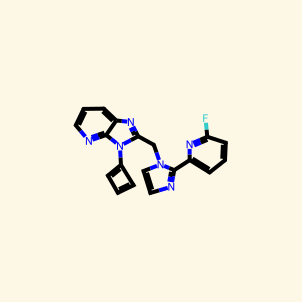 Fc1cccc(-c2nccn2Cc2nc3cccnc3n2C2=CC=C2)n1